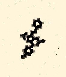 CNC.O=[N+]([O-])N=C1N(C=Nc2ccccc2)CCN1Cc1ccc(Cl)nc1